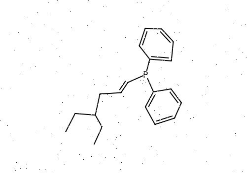 CCC(CC)CC=CP(c1ccccc1)c1ccccc1